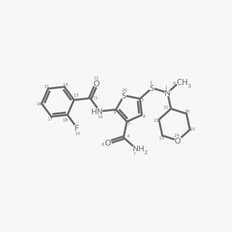 CN(Sc1cc(C(N)=O)c(NC(=O)c2ccccc2F)s1)C1CCOCC1